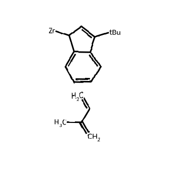 C=CC(=C)C.CC(C)(C)C1=C[CH]([Zr])c2ccccc21